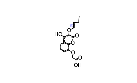 CC/C=C/Oc1c(O)c2cccc(OCC(=O)O)c2oc1=O